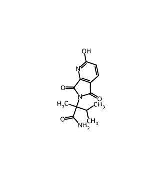 CC(C)C(C)(C(N)=O)N1C(=O)c2ccc(O)nc2C1=O